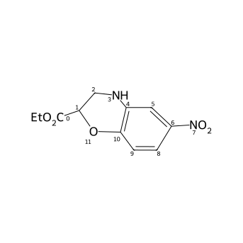 CCOC(=O)C1CNc2cc([N+](=O)[O-])ccc2O1